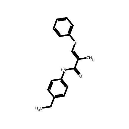 CCc1ccc(NC(=O)C(C)=CSc2ccccc2)cc1